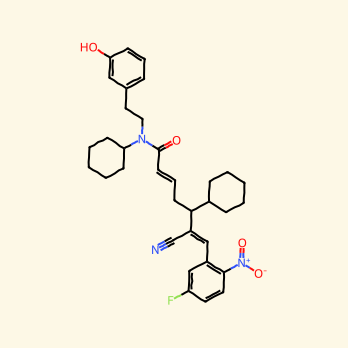 N#C/C(=C\c1cc(F)ccc1[N+](=O)[O-])C(C/C=C/C(=O)N(CCc1cccc(O)c1)C1CCCCC1)C1CCCCC1